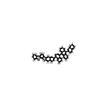 c1ccc2cc(-c3c4ccccc4c(-c4ccc(-c5ccc6cc7sc8c(ccc9c%10ccccc%10sc98)c7cc6c5)c5ccccc45)c4ccccc34)ccc2c1